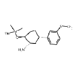 CC(C)(C)[Si](C)(C)O[C@H]1CC[C@H](c2cccc(OC(F)(F)F)c2)C[C@@H]1N